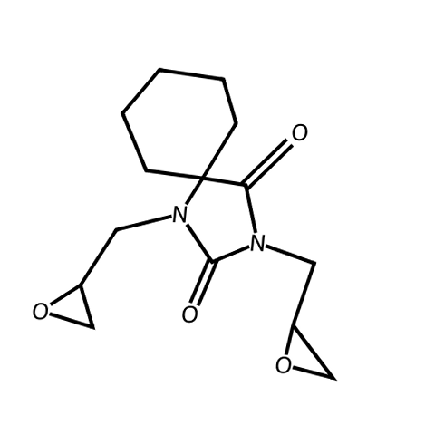 O=C1N(CC2CO2)C(=O)C2(CCCCC2)N1CC1CO1